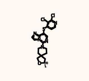 C[C@H]1CC2(CCN(c3ncc(Sc4ccnc(Cl)c4Cl)c4nccn34)CC2)CO1